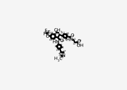 CCC[C@H](c1ccc(C(=O)NCCC(=O)O)cc1)C(C(=O)Nc1ccc(-c2cnc(C)s2)cc1)c1ccc(OC(F)(F)F)cc1